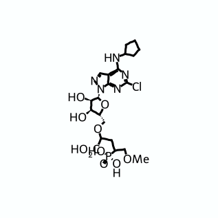 COCC(CC(OC[C@H]1O[C@@H](n2ncc3c(NC4CCCC4)nc(Cl)nc32)[C@H](O)[C@@H]1O)C(=O)O)P(=O)(O)O